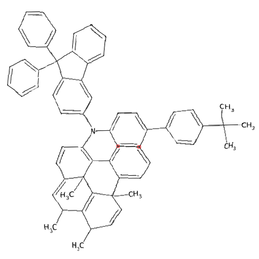 CC1C=CC2(C)C3=C1C(C)C=C1C=CC(N(c4ccc(-c5ccc(C(C)(C)C)cc5)cc4)c4ccc5c(c4)-c4ccccc4C5(c4ccccc4)c4ccccc4)=C(c4ccccc42)C13C